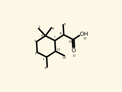 CC1CCC(C)(C)C(C(C)C(=O)O)C1C